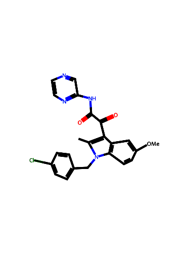 COc1ccc2c(c1)c(C(=O)C(=O)Nc1cnccn1)c(C)n2Cc1ccc(Cl)cc1